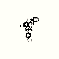 COc1ccc(-c2nc3cnccc3[nH]2)c(OC(C)[S+]([O-])c2ccc(O)cc2)c1